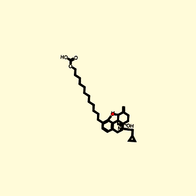 C=C1CC[C@@]2(O)C3Cc4ccc(CCCCCCCCCCCCOC(=O)O)c5c4[C@@]2(CCN3CC2CC2)[C@H]1O5